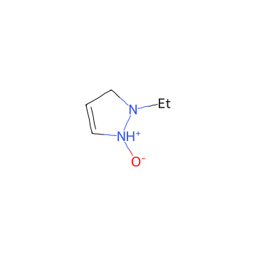 [CH2]CN1CC=C[NH+]1[O-]